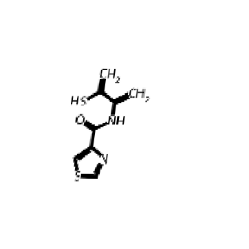 C=C(S)C(=C)NC(=O)c1cscn1